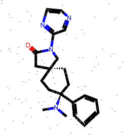 CN(C)[C@]1(c2ccccc2)CC[C@]2(CC1)CC(=O)N(c1cnccn1)C2